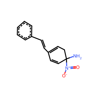 NC1([N+](=O)[O-])C=CC(C=Cc2ccccc2)=CC1